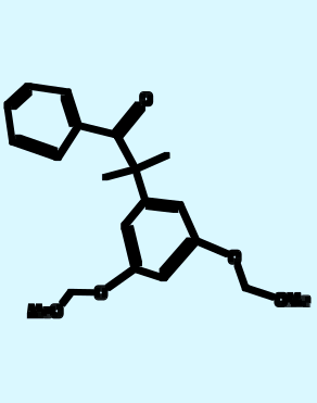 COCOc1cc(OCOC)cc(C(C)(C)C(=O)c2ccccc2)c1